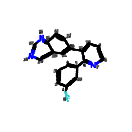 Fc1cccc(-c2ncccc2-c2ccc3ncncc3c2)c1